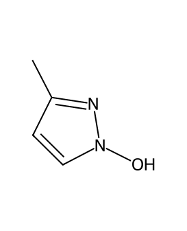 Cc1ccn(O)n1